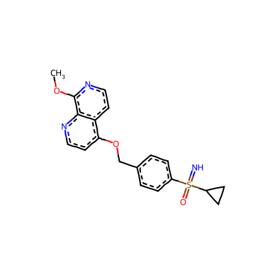 COc1nccc2c(OCc3ccc(S(=N)(=O)C4CC4)cc3)ccnc12